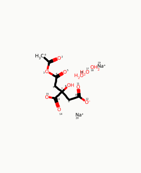 CC(=O)OC(=O)CC(O)(CC(=O)[O-])C(=O)[O-].O.O.O.[Na+].[Na+]